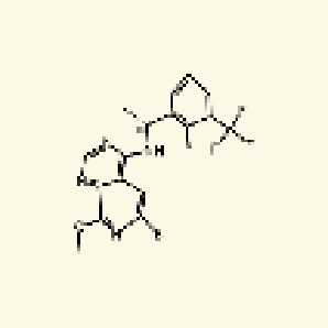 COc1nc(Br)cc2c(N[C@H](C)c3cccc(C(F)(F)F)c3C)ncnc12